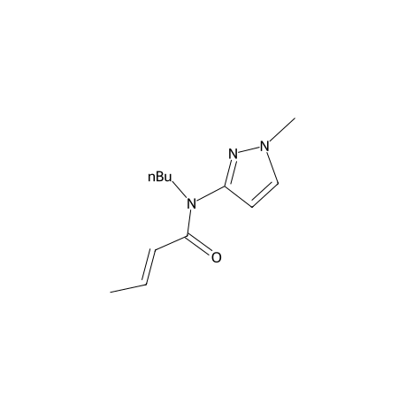 C/C=C/C(=O)N(CCCC)c1ccn(C)n1